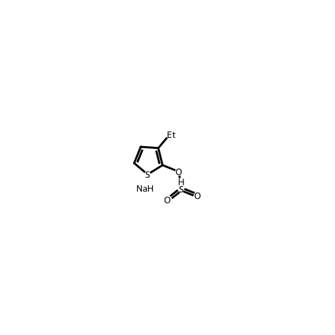 CCc1ccsc1O[SH](=O)=O.[NaH]